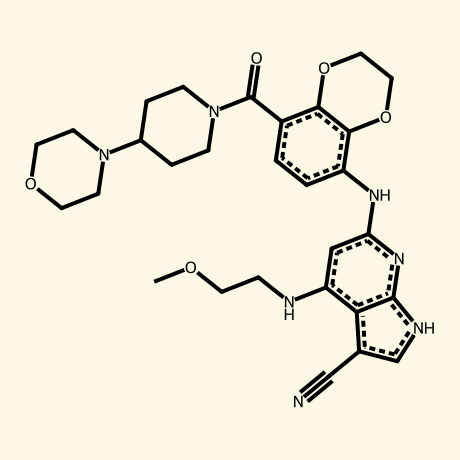 COCCNc1cc(Nc2ccc(C(=O)N3CCC(N4CCOCC4)CC3)c3c2OCCO3)nc2[nH]cc(C#N)c12